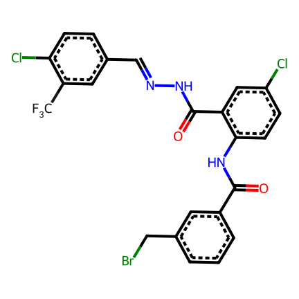 O=C(Nc1ccc(Cl)cc1C(=O)NN=Cc1ccc(Cl)c(C(F)(F)F)c1)c1cccc(CBr)c1